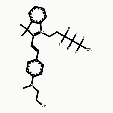 CN(CCC#N)c1ccc(/C=C/C2=[N+](CCC(F)(F)C(F)(F)C(F)(F)C(F)(F)F)c3ccccc3C2(C)C)cc1